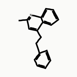 Cc1cc(CCc2ccccc2)c2ccccc2n1